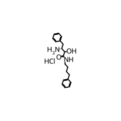 Cl.N[C@H](Cc1ccccc1)C(O)C(=O)NCCCCc1ccccc1